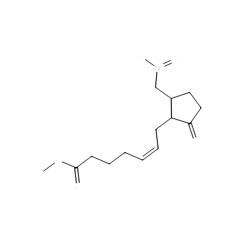 COC(=O)CCC/C=C\CC1C(=O)CCC1C[N+](=O)[O-]